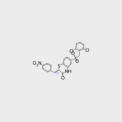 O=C1Nc2cc(S(=O)(=O)Cc3c(Cl)cccc3Cl)ccc2S/C1=C\c1ccc([N+](=O)[O-])cc1